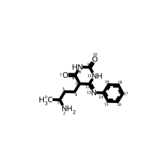 CC(N)CCC1C(=O)NC(=O)NC1=Nc1ccccc1